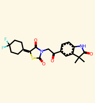 CC1(C)C(=O)Nc2ccc(C(=O)CN3C(=O)SC(=C4CCC(F)(F)CC4)C3=O)cc21